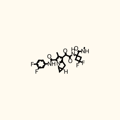 CNC(=O)C1(NC(=O)C(=O)c2c(C)c(C(=O)Nc3ccc(F)c(F)c3)n3c2C[C@H]2CC23)CC(F)(F)C1